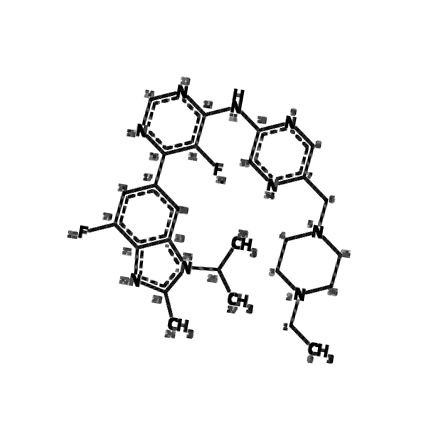 CCN1CCN(Cc2cnc(Nc3ncnc(-c4cc(F)c5nc(C)n(C(C)C)c5c4)c3F)cn2)CC1